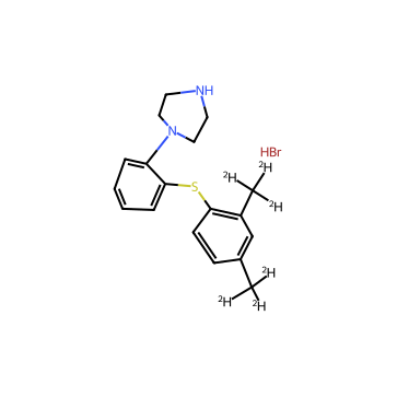 Br.[2H]C([2H])([2H])c1ccc(Sc2ccccc2N2CCNCC2)c(C([2H])([2H])[2H])c1